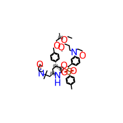 CCO[C@H](C)COCc1ccc([C@H]2C[C@H](CC(C)(C)N=C=O)NC[C@@H]2OC(c2ccc3c(c2)N(CCCOC)CCO3)S(=O)(=O)c2ccc(C)cc2)cc1